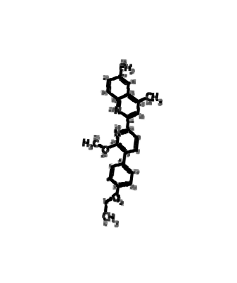 CCOc1ccc(-c2ccc(-c3cc(C)c4cc(P)ccc4n3)nc2OC)cc1